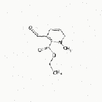 CCOC(=O)C1=C(C=O)C=CCN1C